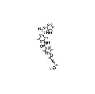 Nc1ncccc1NCc1cccc(NC(=O)c2cnc(OCC#CCO)cn2)c1